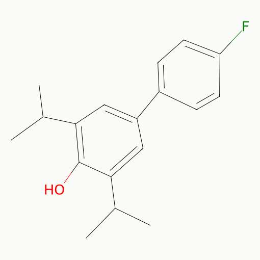 CC(C)c1cc(-c2ccc(F)cc2)cc(C(C)C)c1O